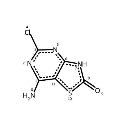 Nc1nc(Cl)nc2[nH]c(=O)sc12